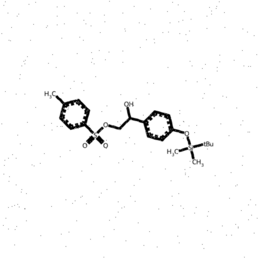 Cc1ccc(S(=O)(=O)OCC(O)c2ccc(O[Si](C)(C)C(C)(C)C)cc2)cc1